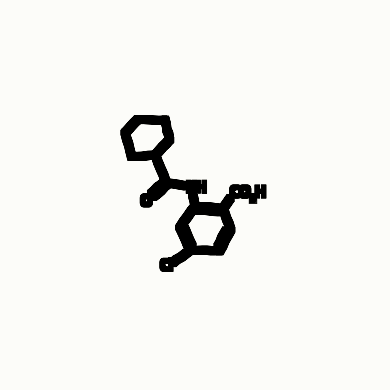 O=C(O)c1ccc(Cl)cc1NC(=O)C1CCCCC1